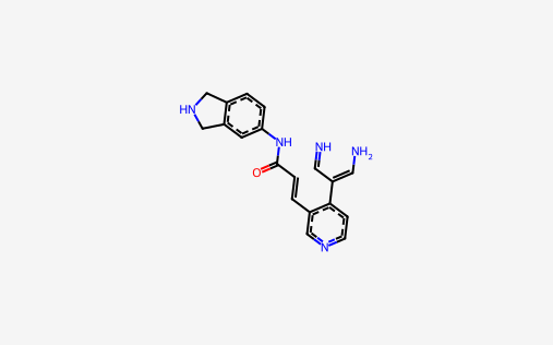 N=C/C(=C\N)c1ccncc1/C=C/C(=O)Nc1ccc2c(c1)CNC2